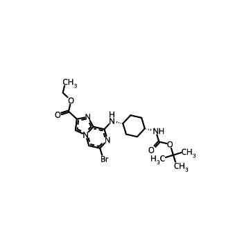 CCOC(=O)c1cn2cc(Br)nc(N[C@H]3CC[C@@H](NC(=O)OC(C)(C)C)CC3)c2n1